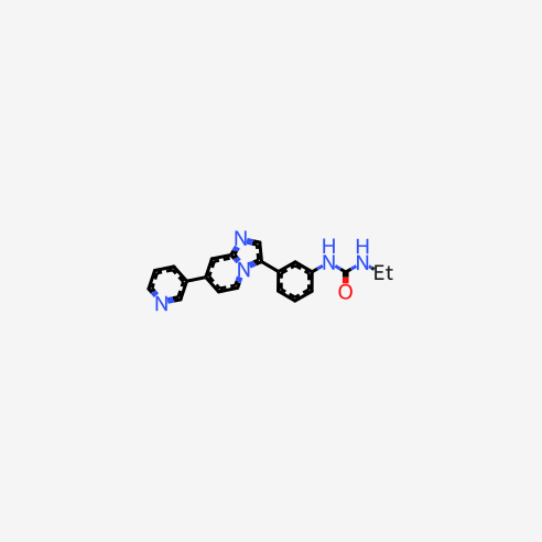 CCNC(=O)Nc1cccc(-c2cnc3cc(-c4cccnc4)ccn23)c1